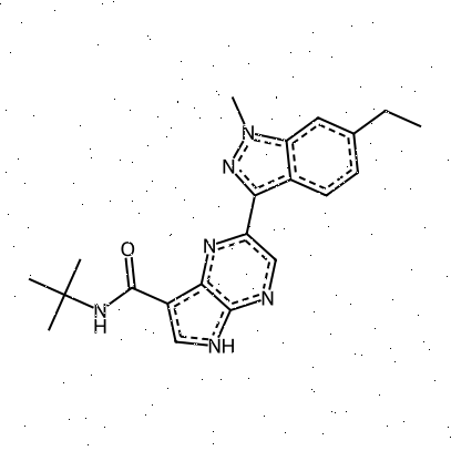 CCc1ccc2c(-c3cnc4[nH]cc(C(=O)NC(C)(C)C)c4n3)nn(C)c2c1